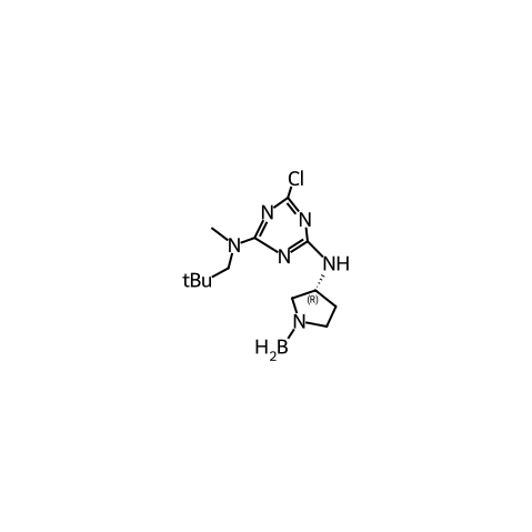 BN1CC[C@@H](Nc2nc(Cl)nc(N(C)CC(C)(C)C)n2)C1